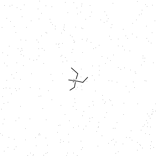 C[CH2][Pb]([CH3])([CH2]C)[CH2]C